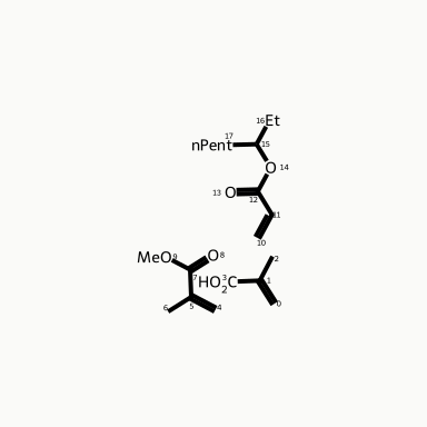 C=C(C)C(=O)O.C=C(C)C(=O)OC.C=CC(=O)OC(CC)CCCCC